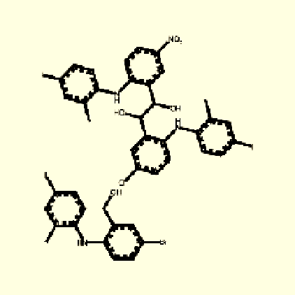 Cc1cc(I)ccc1Nc1ccc(Br)cc1CO.Cc1cc(I)ccc1Nc1ccc(Cl)cc1C(O)C(O)c1cc([N+](=O)[O-])ccc1Nc1ccc(I)cc1C